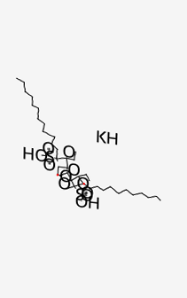 CCCCCCCCCCCCC(C)(C1(C2(OC3(C4(C(C)(CCCCCCCCCCCC)S(=O)(=O)O)CCO4)CCO3)CCO2)CCO1)S(=O)(=O)O.[KH]